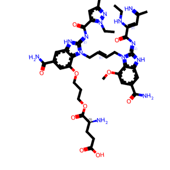 CCN/C(=C\C(C)=N)C(=O)/N=c1/[nH]c2cc(C(N)=O)cc(OC)c2n1C/C=C/Cn1/c(=N/C(=O)c2cc(C)nn2CC)[nH]c2cc(C(N)=O)cc(OCCCOC(=O)[C@@H](N)CCC(=O)O)c21